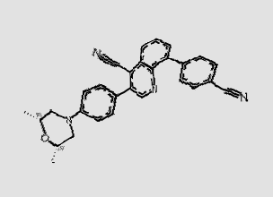 C[C@@H]1CN(c2ccc(-c3cnc4c(-c5ccc(C#N)cc5)cccc4c3C#N)cc2)C[C@H](C)O1